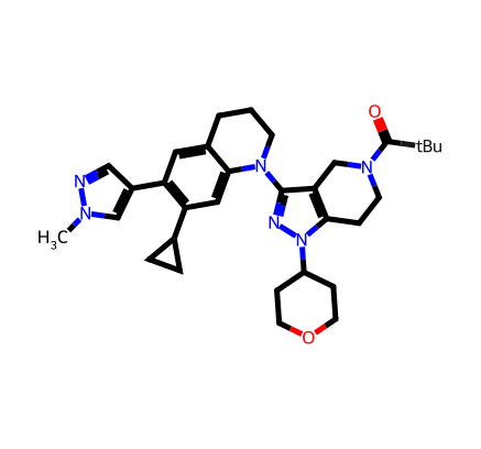 Cn1cc(-c2cc3c(cc2C2CC2)N(c2nn(C4CCOCC4)c4c2CN(C(=O)C(C)(C)C)CC4)CCC3)cn1